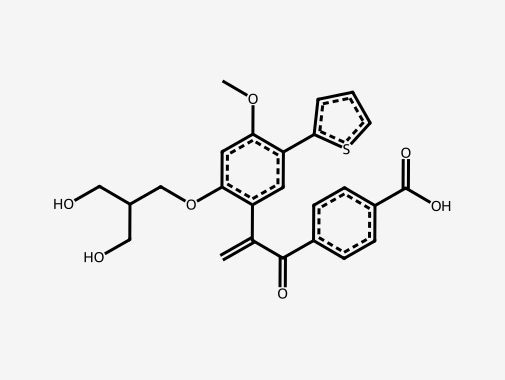 C=C(C(=O)c1ccc(C(=O)O)cc1)c1cc(-c2cccs2)c(OC)cc1OCC(CO)CO